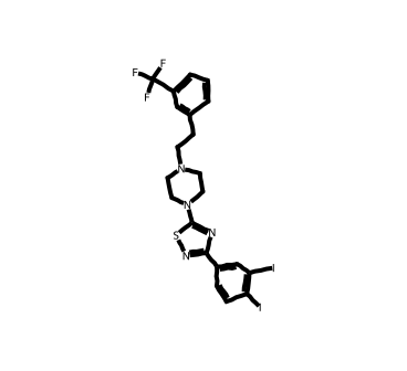 FC(F)(F)c1cccc(CCN2CCN(c3nc(-c4ccc(I)c(I)c4)ns3)CC2)c1